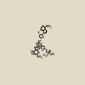 CP(=O)(O)OC[C@@H]1C[C@@H](OP(O)(=S)OC[C@@H]2C[C@H](F)[C@H](n3ccc4c(N)ncnc43)O2)[C@H](n2nnc3c(=O)[nH]c(N)nc32)O1